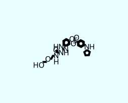 O=C(NCCOCCO)Nc1nc2cc(OS(=O)(=O)c3ccc(NC4CCCC4)cc3)ccc2[nH]1